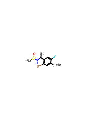 CCC(N[S+]([O-])C(C)(C)C)c1cc(F)c(OC)cc1Br